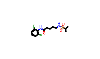 CC(C)S(=O)(=O)NCCCCC(=O)Nc1c(F)cccc1F